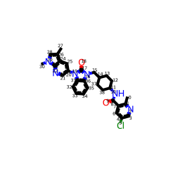 Cc1ncc(Cl)cc1C(=O)NC1CCC(Cn2c(=O)n(-c3cnc4c(c3)c(C)cn4C)c3ccccc32)CC1